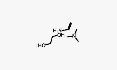 C=C[SiH3].CN(C)C.OCCO